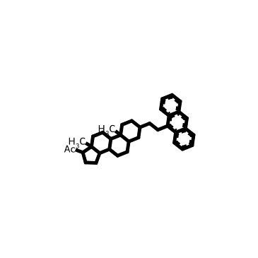 CC(=O)C1CCC2C3CCC4CC(CCc5c6ccccc6cc6ccccc56)CCC4(C)C3CCC12C